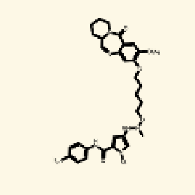 CCn1cc(NN(C)OCCCCCOc2cc3c(cc2OC)C(=O)N2CCCCC2C=N3)cc1C(=O)Nc1ccc(N)cc1